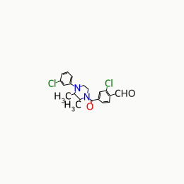 CC1C(C)N(c2cccc(Cl)c2)CCN1C(=O)c1ccc(C=O)c(Cl)c1